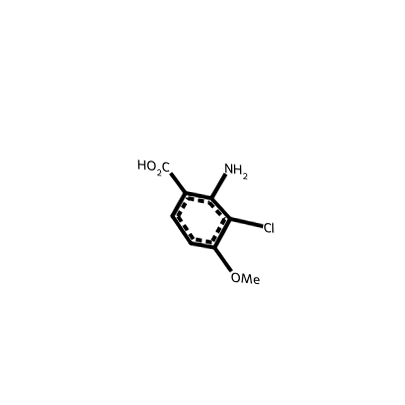 COc1ccc(C(=O)O)c(N)c1Cl